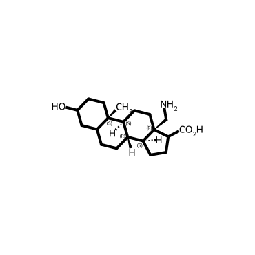 C[C@]12CCC(O)CC1CC[C@H]1[C@@H]3CCC(C(=O)O)[C@@]3(CN)CC[C@@H]12